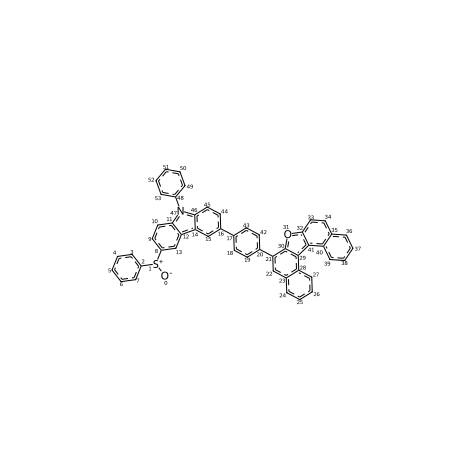 [O-][S+](c1ccccc1)c1ccc2c(c1)c1cc(-c3ccc(-c4cc5ccccc5c5c4oc4ccc6ccccc6c45)cc3)ccc1n2-c1ccccc1